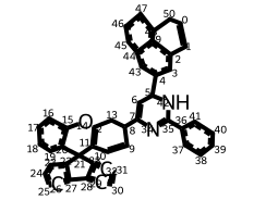 C1=Cc2cc(C3C=C(C4C=CC5=C(C4)Oc4ccccc4C54c5ccccc5-c5ccccc54)N=C(c4ccccc4)N3)cc3cccc(c23)C1